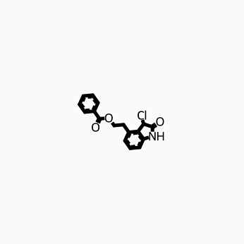 O=C(OCCc1cccc2c1C(Cl)C(=O)N2)c1ccccc1